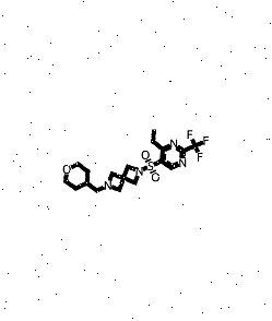 CCc1nc(C(F)(F)F)ncc1S(=O)(=O)N1CC2(CN(CC3CCOCC3)C2)C1